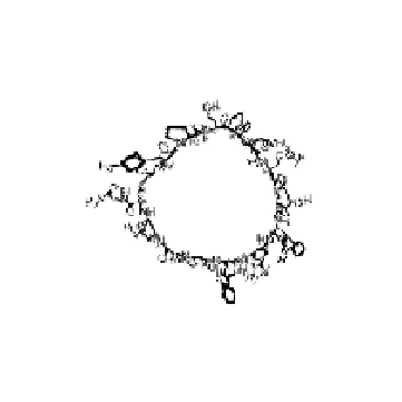 CCCC[C@H]1C(=O)N(C)[C@@H](CCCC)C(=O)N[C@@H](CN)C(=O)N[C@H](C(=O)NCC(N)=O)CSCC(=O)N[C@@H](Cc2ccc(O)cc2)C(=O)N2CCC[C@H]2C(=O)N[C@@H](CCO)C(=O)C2CCC[C@H]2C(=O)N[C@@H](CN)C(=O)N[C@@H](CC(=O)O)C(=O)N2C[C@H](O)C[C@H]2C(=O)N[C@@H](Cc2c[nH]c3ccccc23)C(=O)N[C@@H](CCN)C(=O)N[C@@H](Cc2csc3ccccc23)C(=O)N1C